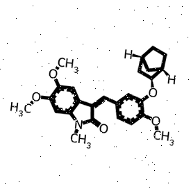 COc1cc2c(cc1OC)N(C)C(=O)/C2=C\c1ccc(OC)c(O[C@H]2C[C@@H]3CC[C@H]2C3)c1